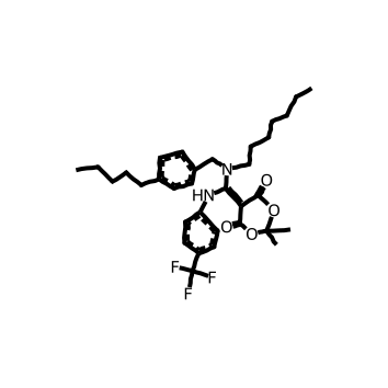 CCCCCCCN(Cc1ccc(CCCCC)cc1)C(Nc1ccc(C(F)(F)F)cc1)=C1C(=O)OC(C)(C)OC1=O